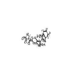 Cc1cc2nc(-c3[nH]nc4c3CCN(C(=O)c3cccc(Cl)c3Cl)C4)[nH]c2cc1C